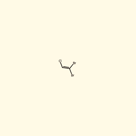 ClC=C(Br)Br